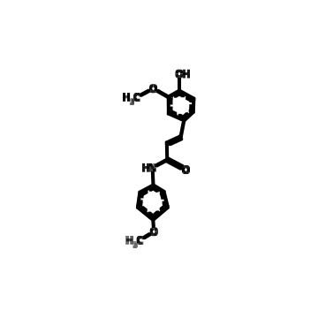 COc1ccc(NC(=O)/C=C/c2ccc(O)c(OC)c2)cc1